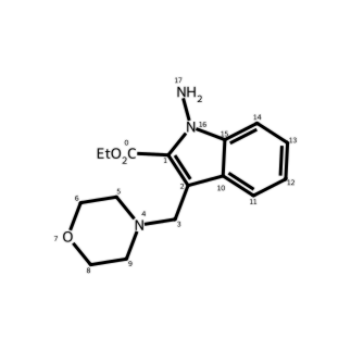 CCOC(=O)c1c(CN2CCOCC2)c2ccccc2n1N